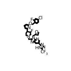 Fc1cc(Cl)ccc1COc1cccc(C2CCN(Cc3nc4cc(-c5nnc(C(F)(F)F)[nH]5)cnc4n3CC3CCO3)CC2F)n1